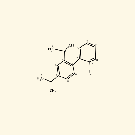 CC(C)c1[c]c(C(C)C)c(-c2ccccc2F)cc1